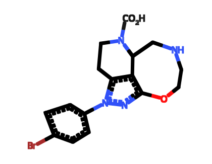 O=C(O)N1CCc2c3c(nn2-c2ccc(Br)cc2)OCCNCC31